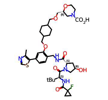 Cc1ncsc1-c1ccc(CNC(=O)[C@@H]2C[C@@H](O)CN2C(=O)[C@@H](NC(=O)C2(F)CC2)C(C)(C)C)c(OCC2CCC(COC[C@H]3CN(C(=O)O)CCO3)CC2)c1